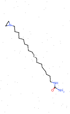 NC(=O)NCCCCCCCCCCCCCCCCCCN1CC1